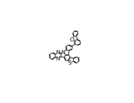 c1ccc2nc3c(nc2c1)c1cc2sc4ccccc4c2c2c4cc(-c5cccc6c5oc5ccccc56)ccc4n3c12